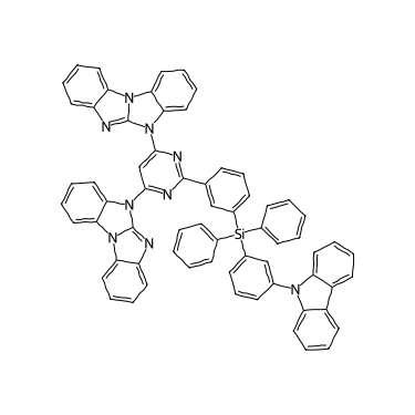 c1ccc([Si](c2ccccc2)(c2cccc(-c3nc(-n4c5ccccc5n5c6ccccc6nc45)cc(-n4c5ccccc5n5c6ccccc6nc45)n3)c2)c2cccc(-n3c4ccccc4c4ccccc43)c2)cc1